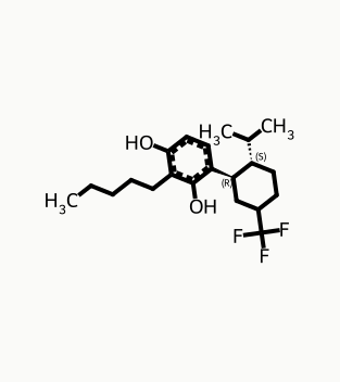 CCCCCc1c(O)ccc([C@@H]2CC(C(F)(F)F)CC[C@H]2C(C)C)c1O